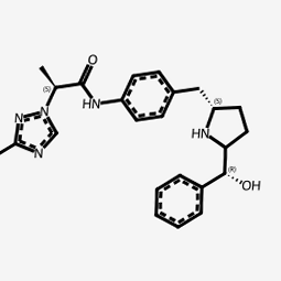 Cc1ncn([C@@H](C)C(=O)Nc2ccc(C[C@@H]3CCC([C@H](O)c4ccccc4)N3)cc2)n1